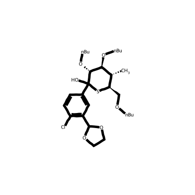 CCCCOC[C@H]1SC(O)(c2ccc(Cl)c(C3OCCO3)c2)[C@H](OCCCC)[C@@H](OCCCC)[C@@H]1C